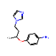 CCCCC(CCn1ccnc1)Oc1ccc(N)cc1